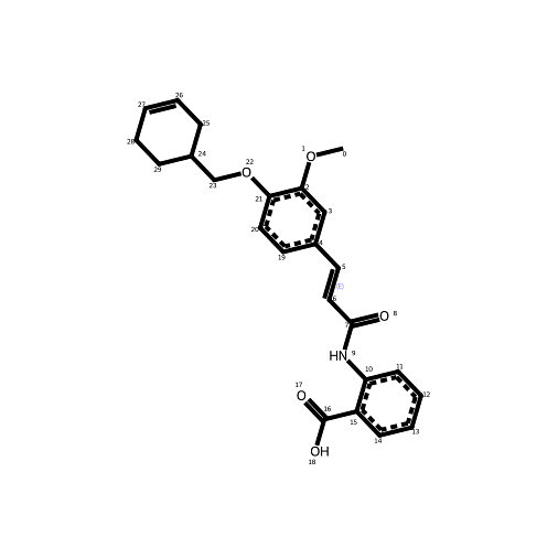 COc1cc(/C=C/C(=O)Nc2ccccc2C(=O)O)ccc1OCC1CC=CCC1